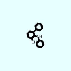 Cc1cccc(-c2ccccc2)c1Nc1ccccc1